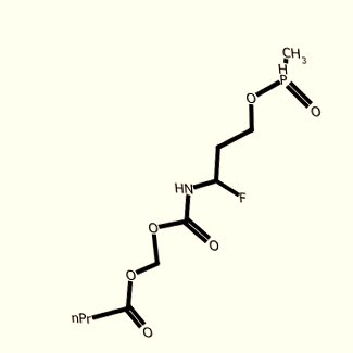 CCCC(=O)OCOC(=O)NC(F)CCO[PH](C)=O